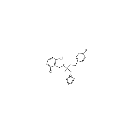 CC(CCc1ccc(F)cc1)(Cn1ccnc1)SCc1c(Cl)cccc1Cl